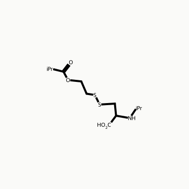 CC(C)NC(CSSCCOC(=O)C(C)C)C(=O)O